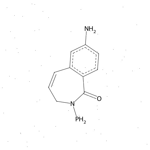 Nc1ccc2c(c1)C=CCN(P)C2=O